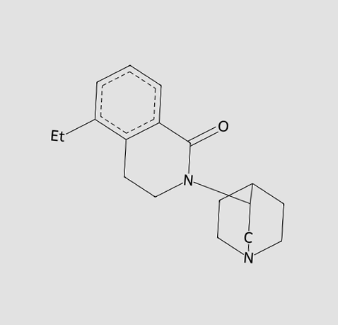 CCc1cccc2c1CCN(C1CN3CCC1CC3)C2=O